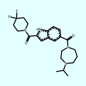 CC(C)N1CCCN(C(=O)c2ccc3[nH]c(C(=O)N4CCC(F)(F)CC4)cc3c2)CC1